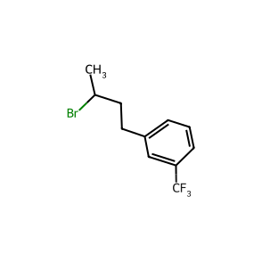 CC(Br)CCc1cccc(C(F)(F)F)c1